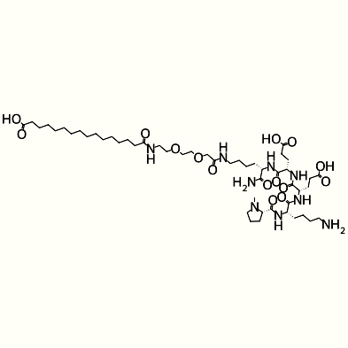 CN1CCC[C@H]1C(=O)N[C@@H](CCCCN)C(=O)N[C@@H](CCC(=O)O)C(=O)N[C@@H](CCC(=O)O)C(=O)N[C@@H](CCCCNC(=O)COCCOCCNC(=O)CCCCCCCCCCCCCCC(=O)O)C(N)=O